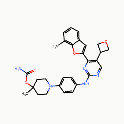 CC1(OC(N)=O)CCN(c2ccc(Nc3ncc(C4COC4)c(-c4cc5cccc([N+](=O)[O-])c5o4)n3)cc2)CC1